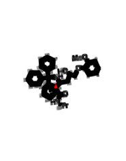 COc1ccccc1OCC(O)CC(NC(c1ccccc1)(c1ccccc1)c1ccccc1)C(C)C(=O)NC(C)C